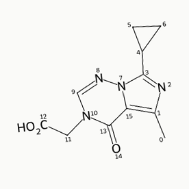 Cc1nc(C2CC2)n2ncn(CC(=O)O)c(=O)c12